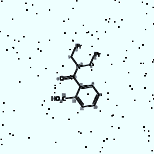 CC(C)CN(CC(C)C)C(=O)c1ccccc1C(=O)O